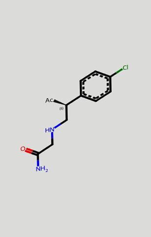 CC(=O)[C@H](CNCC(N)=O)c1ccc(Cl)cc1